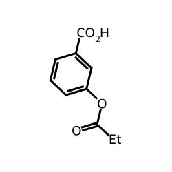 CCC(=O)Oc1cccc(C(=O)O)c1